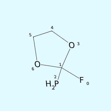 FC1(P)OCCO1